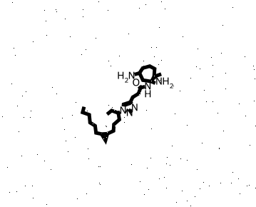 CCCCCCC1CC1CCCC(CC)n1cc(CCC(=O)NC2(C)CC(N)CCCC2(C)N)nn1